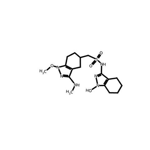 CNc1nn(OC)c2c1CC(CS(=O)(=O)Nc1nn(O)c3c1CCCC3)CC2